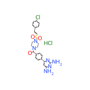 Cl.Nc1cc(-c2ccc(C(=O)N3CCN(S(=O)(=O)/C=C/c4ccc(Cl)cc4)CC3)cc2)nc(N)n1